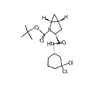 CC(C)(C)OC(=O)N1[C@@H]2C[C@@H]2C[C@H]1C(=O)N[C@H]1CCCC(Cl)(Cl)C1